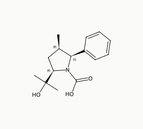 C[C@@H]1C[C@H](C(C)(C)O)N(C(=O)O)[C@@H]1c1ccccc1